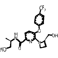 C[C@H](CO)NC(=O)c1ccc(Oc2ccc(C(F)(F)F)cc2)c(N2CC[C@@H]2CO)n1